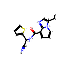 CCc1cnc2c(C(=O)NC(C#N)c3cccs3)cccn12